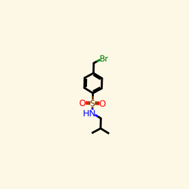 CC(C)CNS(=O)(=O)c1ccc(CBr)cc1